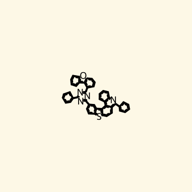 c1ccc(-c2nc(-c3ccc4sc5ccc6c(-c7ccccc7)nc7ccccc7c6c5c4c3)nc(-c3cccc4oc5ccccc5c34)n2)cc1